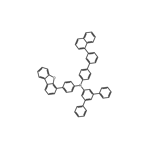 c1ccc(-c2cc(-c3ccccc3)cc(N(c3ccc(-c4cccc(-c5cccc6ccccc56)c4)cc3)c3ccc(-c4cccc5c4oc4ccccc45)cc3)c2)cc1